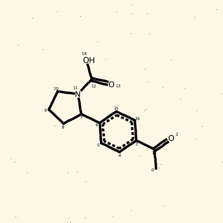 CC(=O)c1ccc(C2CCCN2C(=O)O)cc1